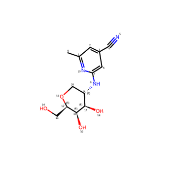 Cc1cc(C#N)cc(N[C@H]2CO[C@H](CO)[C@H](O)[C@@H]2O)n1